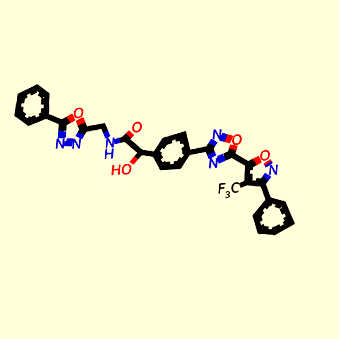 O=C(NCc1nnc(-c2ccccc2)o1)C(O)c1ccc(-c2noc(-c3onc(-c4ccccc4)c3C(F)(F)F)n2)cc1